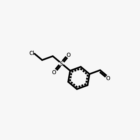 O=Cc1cccc(S(=O)(=O)CCCl)c1